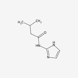 CC(C)CC(=O)Nc1ncc[nH]1